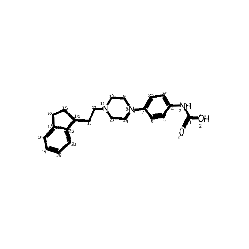 O=C(O)Nc1ccc(N2CCN(CCC3CCc4ccccc43)CC2)cc1